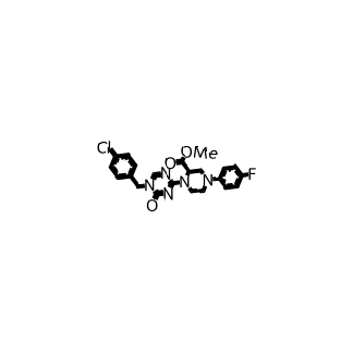 COC(=O)C1CN(c2ccc(F)cc2)CCN1c1ncn(Cc2ccc(Cl)cc2)c(=O)n1